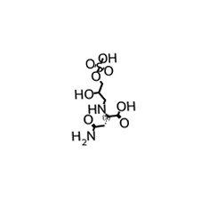 NC(=O)C[C@H](NCC(O)COS(=O)(=O)O)C(=O)O